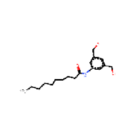 O=C(O)CCCCCCCCC(=O)Nc1cc(CO)cc(CO)c1